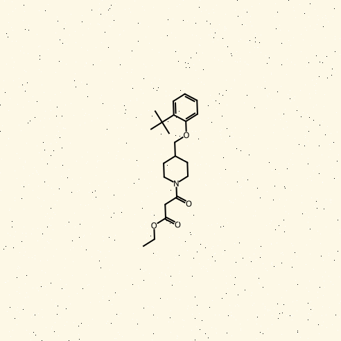 CCOC(=O)CC(=O)N1CCC(COc2ccccc2C(C)(C)C)CC1